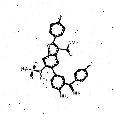 CNC(=O)c1c(-c2ccc(F)cc2)oc2cc(N(C)S(C)(=O)=O)c(-c3ccc(N)c(C(=N)c4ccc(F)cc4)c3)cc12